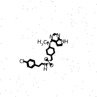 CN(c1ncnc2[nH]ccc12)C1CCC(CS(=O)(=O)NCCc2ccc(Cl)cc2)CC1